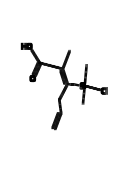 C=CC/C(=C(/C)C(=O)O)[Si](C)(C)Cl